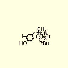 CCOC(=O)C(C)(Cc1ccc(O)c(I)c1)NC(=O)OC(C)(C)C